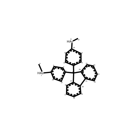 C[AsH]c1ccc(C2(c3ccc([AsH]C)cc3)c3ccccc3-c3ccccc32)cc1